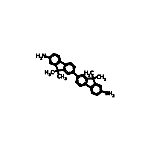 Bc1ccc2c(c1)C(C)(C)c1cc(-c3ccc4c(c3)C(C)(C)c3cc(N)ccc3-4)ccc1-2